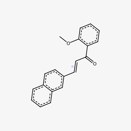 COc1ccccc1C(=O)/C=C/c1ccc2ccccc2c1